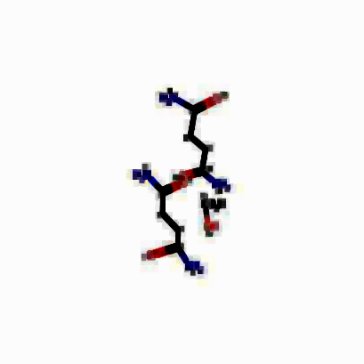 NC(=O)CCC(N)=O.NC(=O)CCC(N)=O.O=C(O)O